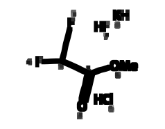 COC(=O)C(F)F.Cl.F.[KH]